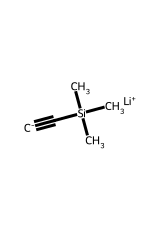 [C-]#C[Si](C)(C)C.[Li+]